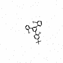 CC(C)(C)c1ccc(-c2cc(-c3ccccc3Br)cc(-c3ccccc3Br)c2)c(Br)c1